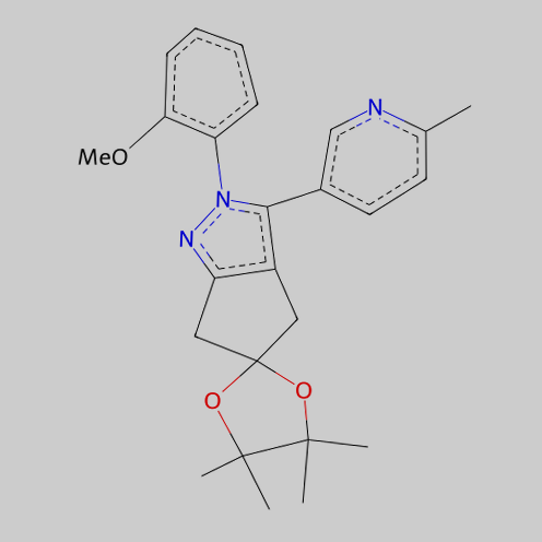 COc1ccccc1-n1nc2c(c1-c1ccc(C)nc1)CC1(C2)OC(C)(C)C(C)(C)O1